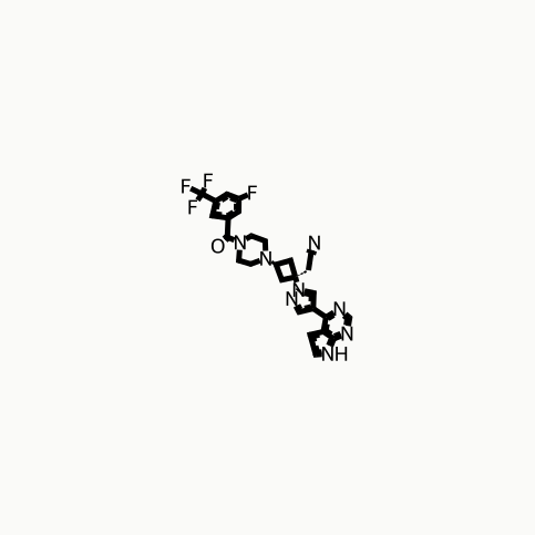 N#CC[C@]1(n2cc(-c3ncnc4[nH]ccc34)cn2)C[C@@H](N2CCN(C(=O)c3cc(F)cc(C(F)(F)F)c3)CC2)C1